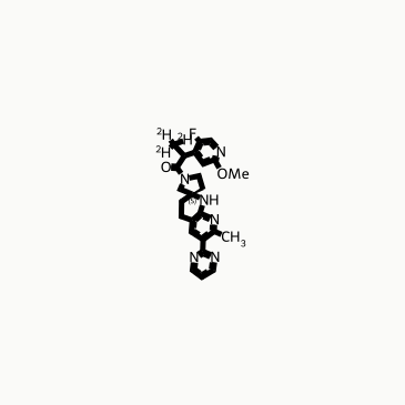 [2H]C([2H])([2H])C(C(=O)N1CC[C@@]2(CCc3cc(-c4ncccn4)c(C)nc3N2)C1)c1cc(OC)ncc1F